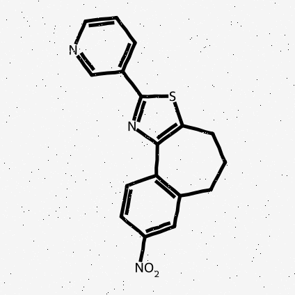 O=[N+]([O-])c1ccc2c(c1)CCCc1sc(-c3cccnc3)nc1-2